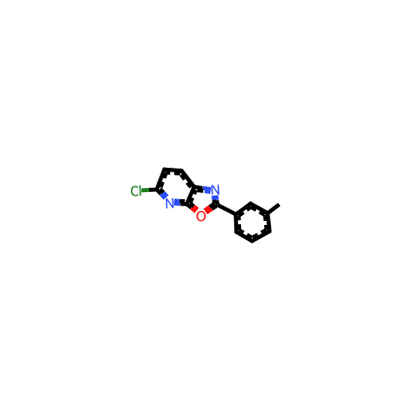 Cc1cccc(-c2nc3ccc(Cl)nc3o2)c1